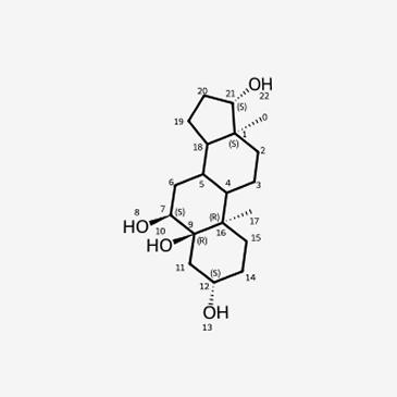 C[C@]12CCC3C(C[C@H](O)[C@@]4(O)C[C@@H](O)CC[C@]34C)C1CC[C@@H]2O